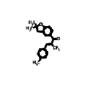 Cc1ccc(C=C(C(=O)c2ccc3c(c2)CC(C)(C)O3)C(F)(F)F)cc1